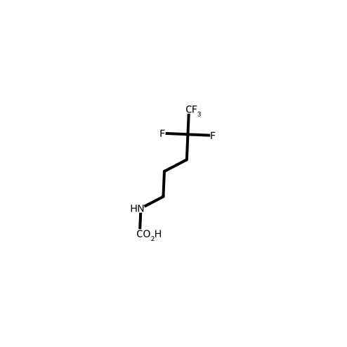 O=C(O)NCCCC(F)(F)C(F)(F)F